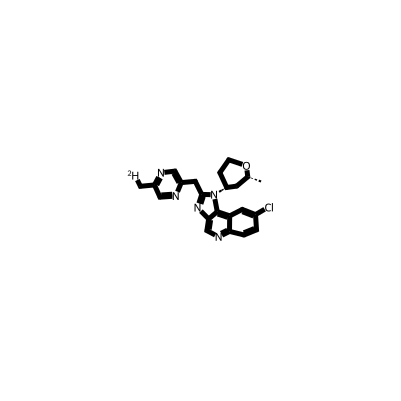 [2H]Cc1cnc(Cc2nc3cnc4ccc(Cl)cc4c3n2[C@@H]2CCO[C@H](C)C2)cn1